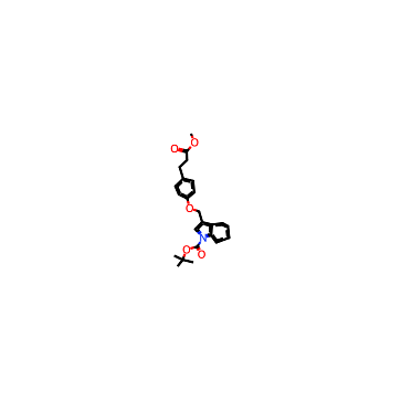 COC(=O)CCc1ccc(OCc2cn(C(=O)OC(C)(C)C)c3ccccc23)cc1